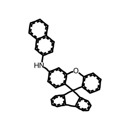 c1ccc2c(c1)Oc1cc(Nc3ccc4ccccc4c3)ccc1C21c2ccccc2-c2ccccc21